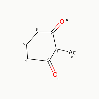 CC(=O)C1C(=O)CCCC1=O